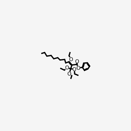 CCCCCCCCCC(OCC)=C(C(=O)Oc1ccccc1)C(OCC)(OCC)OCC